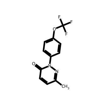 Cc1ccc(=O)n(-c2ccc(OC(F)(F)F)cc2)n1